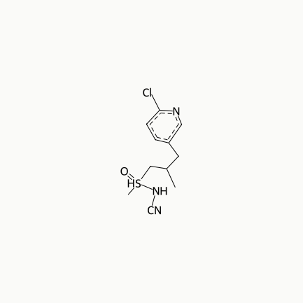 CC(Cc1ccc(Cl)nc1)C[SH](C)(=O)NC#N